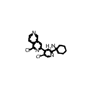 NC1(c2cc(-c3cc4cnccc4c(Cl)n3)c(Cl)cn2)CCCCC1